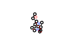 c1ccc(-c2ccc(-c3ccccc3N(c3ccc(-c4cccc5c4oc4ccccc45)cc3)c3cc4c5c(c3)c3ccccc3n5-c3ccccc3C43c4ccccc4-c4ccccc43)cc2)cc1